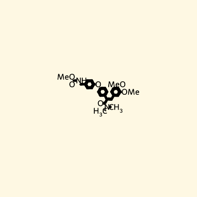 COC(=O)NCc1ccc(Oc2ccc(/C(=C\c3cc(OC)cc(OC)c3)C(=O)N(C)C)cc2)cc1